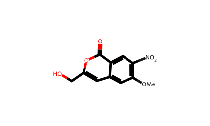 COc1cc2cc(CO)oc(=O)c2cc1[N+](=O)[O-]